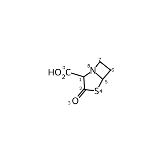 O=C(O)C1C(=O)SC2CCN21